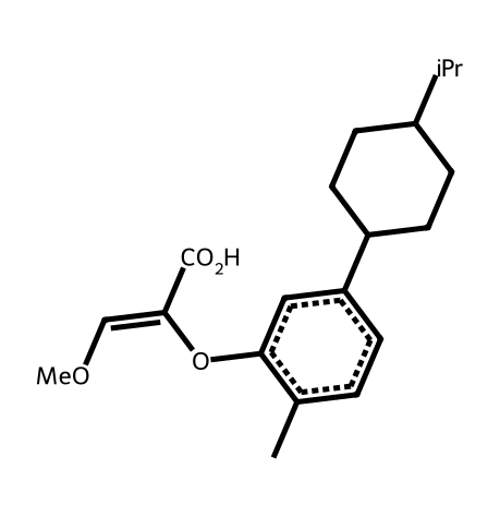 CO/C=C(\Oc1cc(C2CCC(C(C)C)CC2)ccc1C)C(=O)O